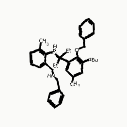 CCC(CC)(Pc1c(C)cccc1CNCc1ccccc1)c1cc(C)cc(C(C)(C)C)c1OCc1ccccc1